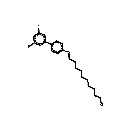 Fc1cc(F)cc(-c2ccc(OCCCCCCCCCCCl)cc2)c1